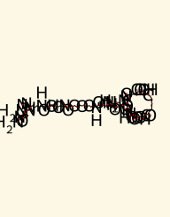 CO/N=C1/C[C@@H]([C@H](N)C[C@@H]2CC[C@H](n3cc(CCCC(=O)NCCOCCOCCOCCC(=O)NCCOCCOCCC(=O)NCCCCn4nc(-c5ccc6oc(N)nc6c5)c5c(N)ncnc54)nn3)[C@H](OC)C2)OC(=O)[C@@H]2CCCCN2C(=O)C(=O)[C@]2(O)O[C@@H](CC[C@H]2C)C[C@H](OC)/C(C)=C/C=C/C=C/[C@@H](C)C[C@@H](C)C(=O)[C@H](O)[C@H](O)/C(C)=C/[C@H]1C